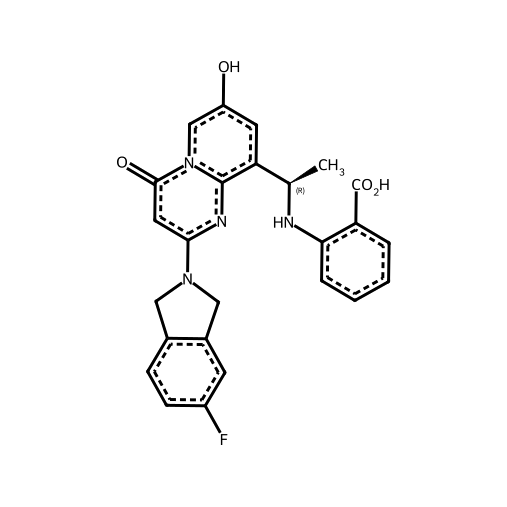 C[C@@H](Nc1ccccc1C(=O)O)c1cc(O)cn2c(=O)cc(N3Cc4ccc(F)cc4C3)nc12